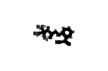 CC(C)(C)NC(=O)COc1ccccc1C(=O)O